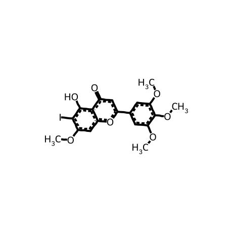 COc1cc2oc(-c3cc(OC)c(OC)c(OC)c3)cc(=O)c2c(O)c1I